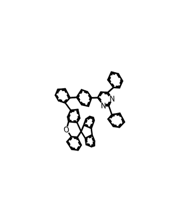 c1ccc(-c2cc(-c3ccc(-c4ccccc4-c4ccc5c(c4)Oc4ccccc4C54c5ccccc5-c5ccccc54)cc3)nc(-c3ccccc3)n2)cc1